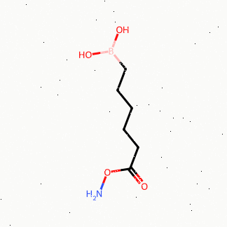 NOC(=O)CCCCCB(O)O